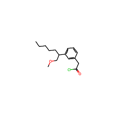 CCCCCC(COC)c1cccc(CC(=O)Cl)c1